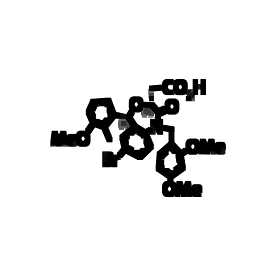 COc1ccc(CN2C(=O)[C@@H](CC(=O)O)O[C@H](c3cccc(OC)c3C)c3cc(Br)ccc32)c(OC)c1